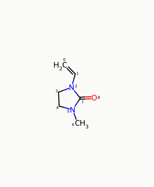 C=CN1CCN(C)C1=O